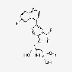 CC(CO)CC(N)(CO)COc1ncc(-c2ccnc3ccc(F)cc23)cc1C(F)F